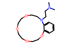 CN(C)CCN1CCOCCOCCOCCOc2ccccc21